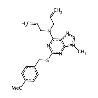 C=CCN(CC=C)c1nc(SCc2ccc(OC)cc2)nc2c1ncn2C